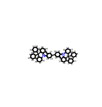 c1ccc(C2(c3ccccc3)c3ccccc3-n3c4ccc(-c5ccc6c(c5)c5cccc7c5n6-c5ccccc5C7(c5ccccc5)c5ccccc5)cc4c4cccc2c43)cc1